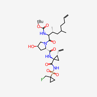 C=CCCC(C)C[C@@H](C)C(NC(=O)OC(C)(C)C)C(=O)N1C[C@H](O)C[C@H]1C(=O)N[C@]1(C(=O)NS(=O)(=O)C2(CF)CC2)C[C@H]1C=C